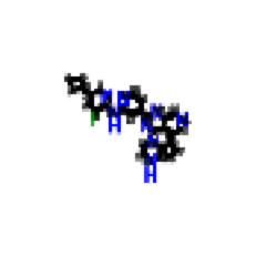 Fc1cc(C2CCC2)cnc1Nc1cc(-c2nc(N3CCNCC3)c3c(C4CCC4)cncc3n2)ccn1